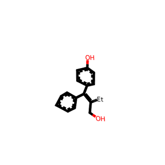 CCC(CO)=C(c1ccccc1)c1ccc(O)cc1